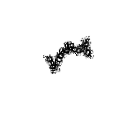 Cc1ccc(N(c2ccc3cc4c(cc3c2)oc2c(C(C)C)c3oc5cc6cc(N(c7ccc(C)cc7)c7ccc(C)c(C)c7C)ccc6cc5c3cc24)c2ccc(C)c(C)c2C)cc1